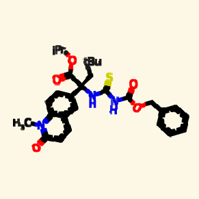 CC(C)OC(=O)[C@](CC(C)(C)C)(NC(=S)NC(=O)OCc1ccccc1)c1ccc2c(ccc(=O)n2C)c1